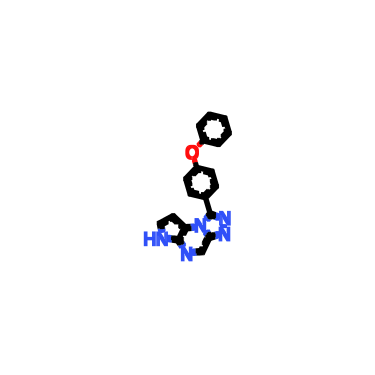 c1ccc(Oc2ccc(-c3nnc4cnc5[nH]ccc5n34)cc2)cc1